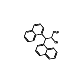 N#CC(C(=O)O)C(c1cccc2ccccc12)c1cccc2ccccc12